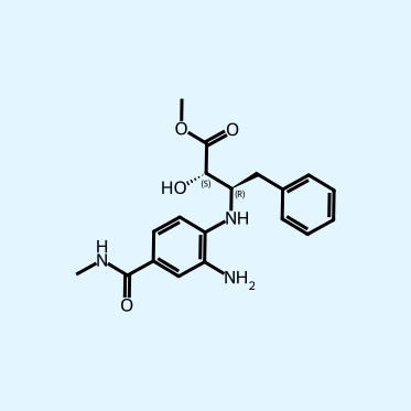 CNC(=O)c1ccc(N[C@H](Cc2ccccc2)[C@H](O)C(=O)OC)c(N)c1